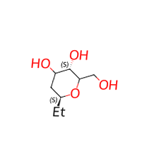 CC[C@H]1CC(O)[C@H](O)C(CO)O1